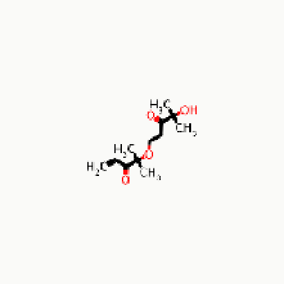 C=CC(=O)C(C)(C)OCCC(=O)C(C)(C)O